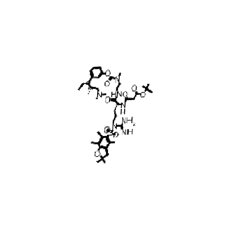 CC[C@@H](c1cccc(OC(=O)N(C)CCNC(=O)[C@H](CCCN(C(=N)N)S(=O)(=O)c2c(C)c(C)c3c(c2C)CC(C)(C)O3)NC(=O)CC(=O)OC(C)(C)C)c1)[C@@H](C)CN(C)C